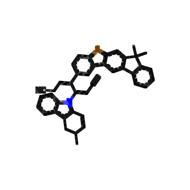 C#C/C=C(\C(=C/CC#N)c1ccc2sc3cc4c(cc3c2c1)-c1ccccc1C4(C)C)n1c2c(c3ccccc31)CC(C)C=C2